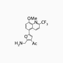 COc1ccc(-c2cc(C(C)=O)c(CN)o2)c2ccc(C(F)(F)F)nc12